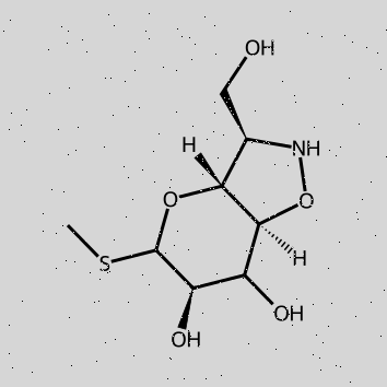 CSC1O[C@@H]2[C@@H](CO)NO[C@H]2C(O)[C@H]1O